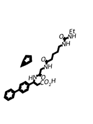 CCNC(=O)NCCCCC(=O)NCC(=O)NC(CC(=O)O)c1ccc(-c2ccccc2)cc1.c1cc2cc-2c1